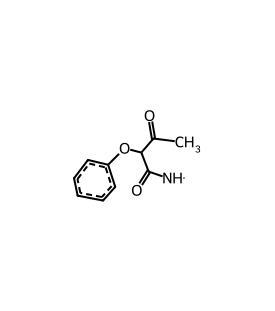 CC(=O)C(Oc1ccccc1)C([NH])=O